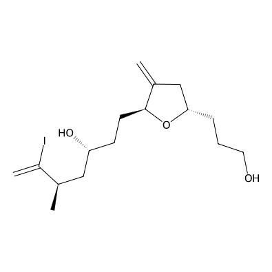 C=C(I)[C@H](C)C[C@H](O)CC[C@@H]1O[C@@H](CCCO)CC1=C